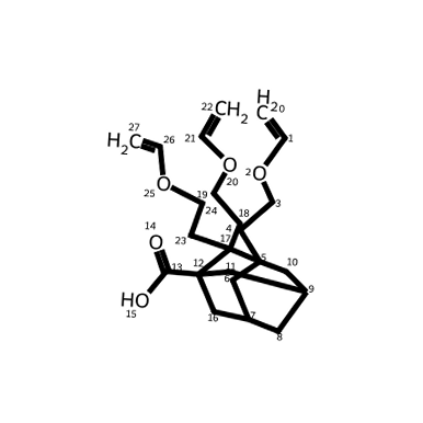 C=COCCC12CC3CC(C1)CC(C(=O)O)(C3)C2(CCOC=C)CCOC=C